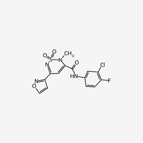 CN1C(C(=O)Nc2ccc(F)c(Cl)c2)=CC(c2ccon2)=NS1(=O)=O